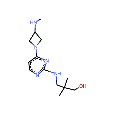 CNC1CN(c2ccnc(NCC(C)(C)CO)n2)C1